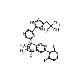 CC(C)(O)Cc1n[nH]c(-c2cncc([C@@]34CC[C@@H](c5cc(-c6c(F)cccc6F)nnc53)C4(C)C)n2)n1